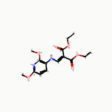 CCOC(=O)C(=CNc1ccc(OC)nc1OC)C(=O)OCC